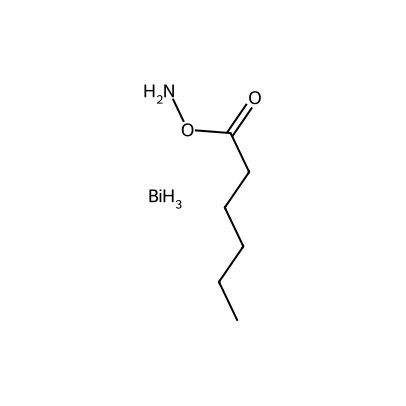 CCCCCC(=O)ON.[BiH3]